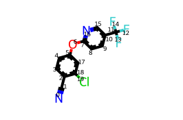 N#Cc1ccc(Oc2ccc(C(F)(F)F)cn2)cc1Cl